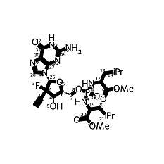 C#CC1(F)[C@@H](O)[C@@H](COP(=O)(NC(CC(C)C)C(=O)OC)NC(CC(C)C)C(=O)OC)O[C@H]1n1cnc2c(=O)[nH]c(N)nc21